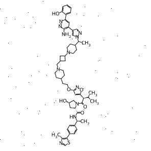 Cc1ncsc1-c1ccc([C@H](C)NC(=O)[C@@H]2C[C@@H](O)CN2C(=O)[C@@H](c2cc(OCCC3CCN(CC4CC(N5CCC(C(C)n6cc(-c7cc(-c8ccccc8O)nnc7N)cn6)CC5)C4)CC3)no2)C(C)C)cc1